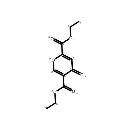 CCOC(=O)c1cc(=O)c(C(=O)OCC)co1